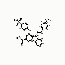 CCS(=O)(=O)c1ccc(Cc2cc(C(N)=O)cc3c4ccccc4n(CCc4ccc(C(F)(F)F)cc4)c23)cc1